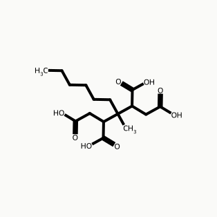 CCCCCCC(C)(C(CC(=O)O)C(=O)O)C(CC(=O)O)C(=O)O